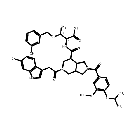 COc1cc(C(=O)N2CC3CN(C(=O)Cc4c[nH]c5cc(Cl)ccc45)CC(C(=O)N[C@H](C(=O)O)[C@H](C)OCc4cccc(O)c4)C3C2)ccc1OC(C)C